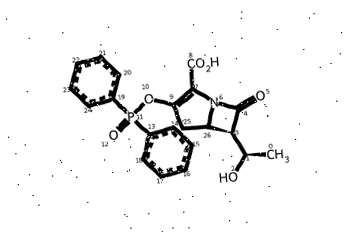 C[C@@H](O)[C@@H]1C(=O)N2C(C(=O)O)=C(OP(=O)(c3ccccc3)c3ccccc3)CC12